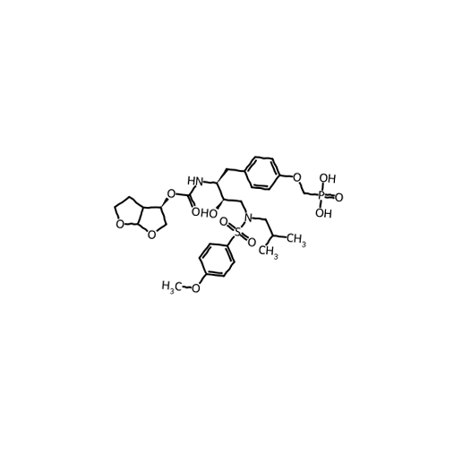 COc1ccc(S(=O)(=O)N(CC(C)C)C[C@@H](O)[C@H](Cc2ccc(OCP(=O)(O)O)cc2)NC(=O)O[C@H]2COC3OCCC32)cc1